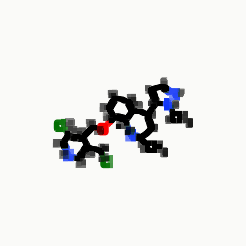 Cc1cc(-c2ccnn2C)c2cccc(OCc3c(Cl)cncc3CCl)c2n1